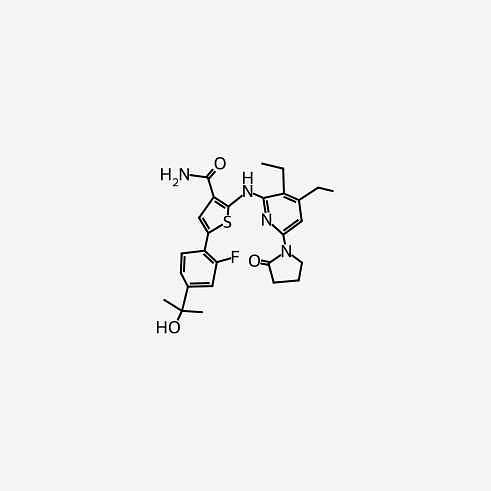 CCc1cc(N2CCCC2=O)nc(Nc2sc(-c3ccc(C(C)(C)O)cc3F)cc2C(N)=O)c1CC